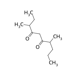 CCCC(C)C(=O)CC(=O)C(C)CC